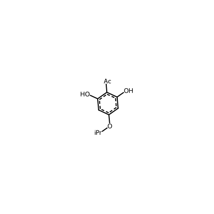 CC(=O)c1c(O)cc(OC(C)C)cc1O